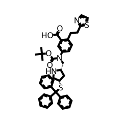 CC(C)(C)OC(=O)N(C[C@@H]1C[C@H](SC(c2ccccc2)(c2ccccc2)c2ccccc2)CN1)c1ccc(CCc2nccs2)c(C(=O)O)c1